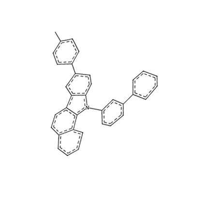 Cc1ccc(-c2ccc3c(c2)c2ccc4ccccc4c2n3-c2cccc(-c3ccccc3)c2)cc1